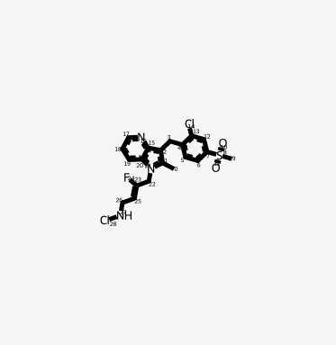 Cc1c(Cc2ccc(S(C)(=O)=O)cc2Cl)c2ncccc2n1C/C(F)=C/CNCl